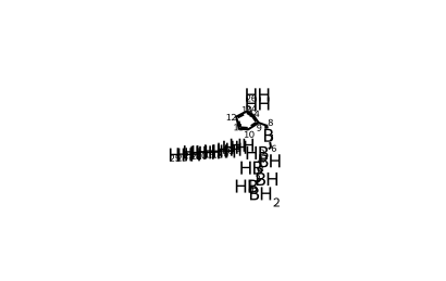 BBBBBBCB=Cc1ccccc1.[HH].[HH].[HH].[HH].[HH].[HH].[HH].[HH].[HH].[HH].[HH].[HH]